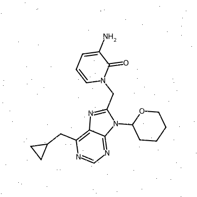 Nc1cccn(Cc2nc3c(CC4CC4)ncnc3n2C2CCCCO2)c1=O